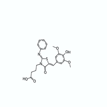 COc1cc(/C=C2\S/C(=N\c3ccccc3)N(CCCC(=O)O)C2=O)cc(OC)c1O